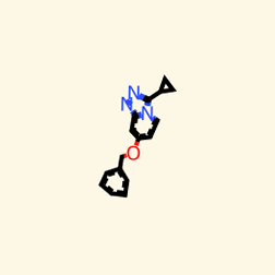 c1ccc(COc2ccn3c(C4CC4)nnc3c2)cc1